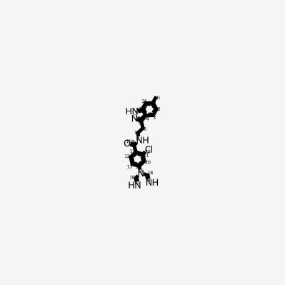 Cc1ccc2c(CCNC(=O)c3ccc(N(C=N)C=N)cc3Cl)n[nH]c2c1